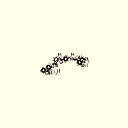 O=C(N[C@H]1CCCN(C(=O)COc2cccc(C(O)(C(=O)O)c3ccccc3)c2)C1)c1ccc(CCNCC(O)c2ccc(O)c3[nH]c(=O)ccc23)cc1